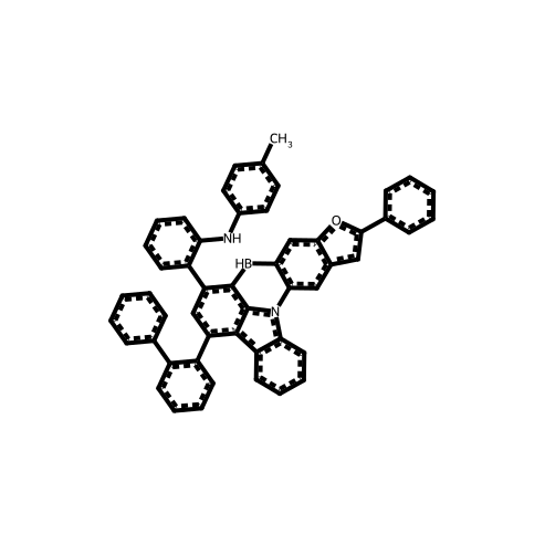 Cc1ccc(Nc2ccccc2-c2cc(-c3ccccc3-c3ccccc3)c3c4ccccc4n4c3c2Bc2cc3oc(-c5ccccc5)cc3cc2-4)cc1